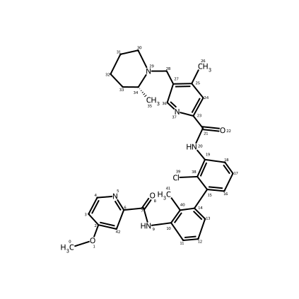 COc1ccnc(C(=O)Nc2cccc(-c3cccc(NC(=O)c4cc(C)c(CN5CCCC[C@H]5C)cn4)c3Cl)c2C)c1